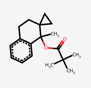 CC(C)(C)C(=O)OC1(C)c2ccccc2CCC12CC2